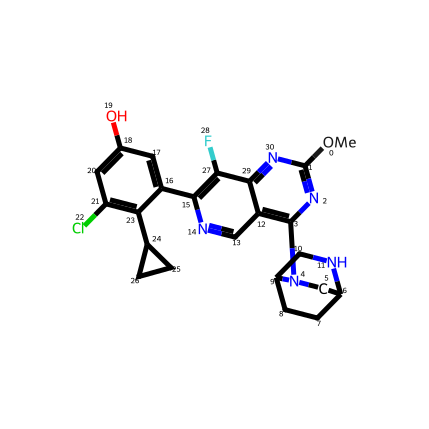 COc1nc(N2CC3CCC2CN3)c2cnc(-c3cc(O)cc(Cl)c3C3CC3)c(F)c2n1